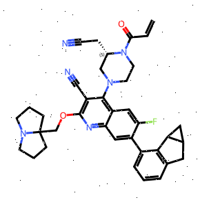 C=CC(=O)N1CCN(c2c(C#N)c(OCC34CCCN3CCC4)nc3cc(-c4cccc5c4C4CC4C5)c(F)cc23)C[C@@H]1CC#N